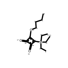 CCCCOc1[c]([Sn]([CH2]C)([CH2]C)[CH2]C)c(=O)c1=O